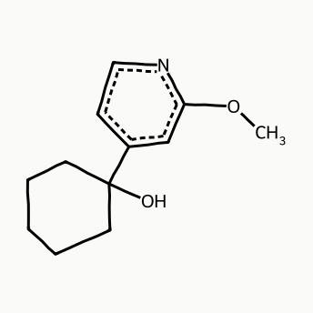 COc1cc(C2(O)CCCCC2)ccn1